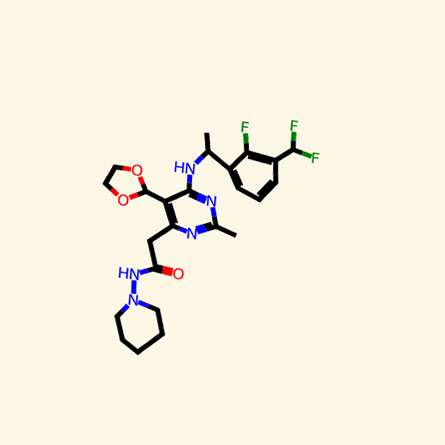 Cc1nc(CC(=O)NN2CCCCC2)c(C2OCCO2)c(NC(C)c2cccc(C(F)F)c2F)n1